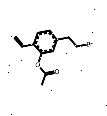 C=Cc1ccc(CCBr)cc1OC(C)=O